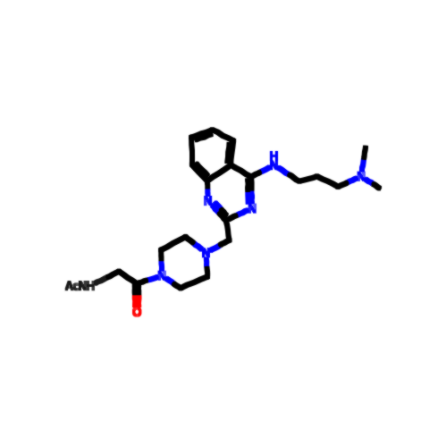 CC(=O)NCC(=O)N1CCN(Cc2nc(NCCCN(C)C)c3ccccc3n2)CC1